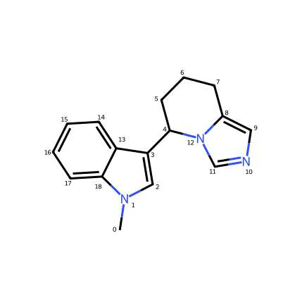 Cn1cc(C2CCCc3cncn32)c2ccccc21